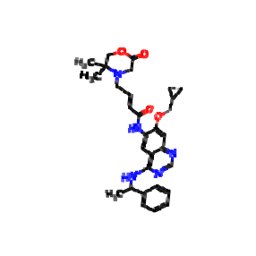 CC(Nc1ncnc2cc(OCC3CC3)c(NC(=O)C=CCN3CC(=O)OCC3(C)C)cc12)c1ccccc1